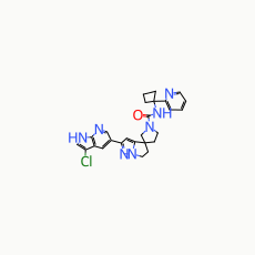 O=C(NC1(c2ccccn2)CCC1)N1CCC2(CCn3nc(-c4cnc5[nH]cc(Cl)c5c4)cc32)C1